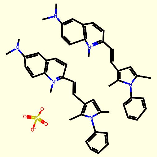 Cc1cc(C=Cc2ccc3cc(N(C)C)ccc3[n+]2C)c(C)n1-c1ccccc1.Cc1cc(C=Cc2ccc3cc(N(C)C)ccc3[n+]2C)c(C)n1-c1ccccc1.O=S(=O)([O-])[O-]